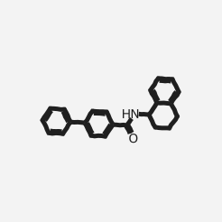 O=C(NC1CCCc2ccccc21)c1ccc(-c2ccccc2)cc1